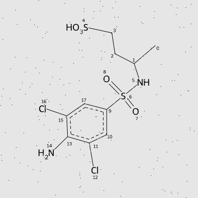 CC(CCS(=O)(=O)O)NS(=O)(=O)c1cc(Cl)c(N)c(Cl)c1